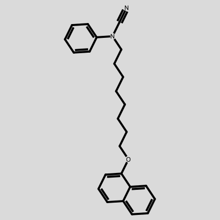 N#CN(CCCCCCCCOc1cccc2ccccc12)c1ccccc1